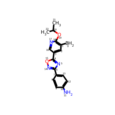 Bc1cc(-c2nc(-c3ccc(N)cc3)no2)cnc1OC(C)C